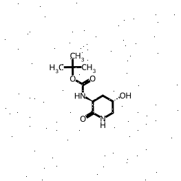 CC(C)(C)OC(=O)N[C@H]1C[C@H](O)CNC1=O